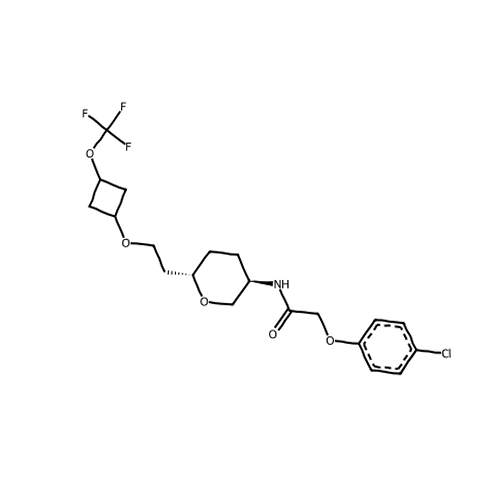 O=C(COc1ccc(Cl)cc1)N[C@@H]1CC[C@@H](CCOC2CC(OC(F)(F)F)C2)OC1